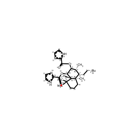 CC[C@@H](C)CC[C@H]1[C@@H](C)[C@H](OC(=O)c2ncc[nH]2)[C@H](OC(=O)c2ncc[nH]2)[C@H]2C(C)(C)CCC[C@]12C